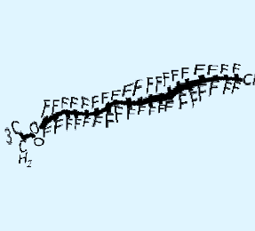 C=C(C)C(=O)OC(F)(F)C(F)(F)C(F)(F)C(F)(F)C(F)(F)C(F)(F)C(F)(F)C(F)(F)C(F)(F)C(F)(F)C(F)(F)C(F)(F)C(F)(F)C(F)(F)C(F)(F)C(F)(F)C(F)(F)C(F)(F)C(F)(F)C(F)(F)F